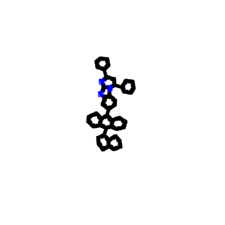 c1ccc(-c2cc(-c3ccccc3)n3c(n2)nc2cc(-c4c5ccccc5c(-c5cccc6ccccc56)c5ccccc45)ccc23)cc1